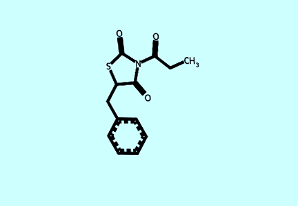 CCC(=O)N1C(=O)SC(Cc2ccccc2)C1=O